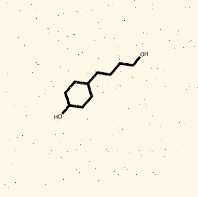 OCCCCC1CCC(O)CC1